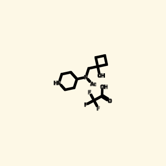 CC(=O)N(CC1(O)CCC1)C1CCNCC1.O=C(O)C(F)(F)F